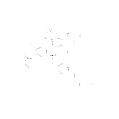 CCCNC(=O)c1ccc(-c2cc3c(cc2C(=O)Nc2ccc(CNC(=O)OC(C)(C)C)cc2CCO)-c2sccc2CCO3)c(C(=O)OC)n1